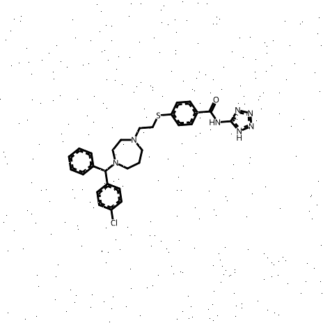 O=C(Nc1nnn[nH]1)c1ccc(SCCN2CCCN(C(c3ccccc3)c3ccc(Cl)cc3)CC2)cc1